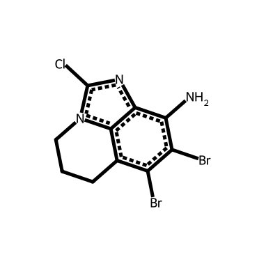 Nc1c(Br)c(Br)c2c3c1nc(Cl)n3CCC2